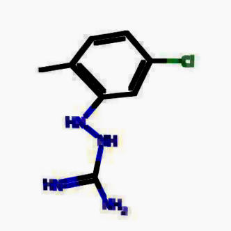 Cc1ccc(Cl)cc1NNC(=N)N